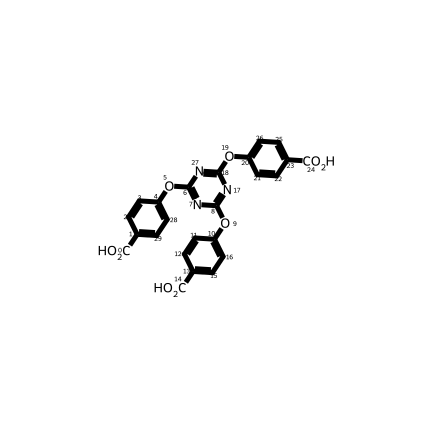 O=C(O)c1ccc(Oc2nc(Oc3ccc(C(=O)O)cc3)nc(Oc3ccc(C(=O)O)cc3)n2)cc1